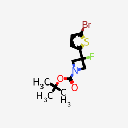 CC(C)(C)OC(=O)N1CC(F)(c2ccc(Br)s2)C1